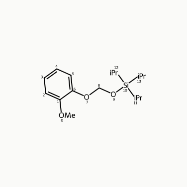 COc1ccccc1OCO[Si](C(C)C)(C(C)C)C(C)C